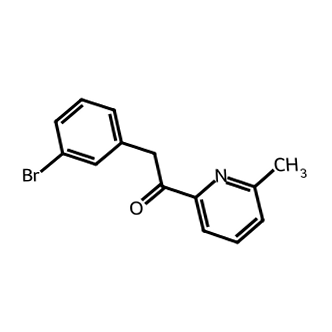 Cc1cccc(C(=O)Cc2cccc(Br)c2)n1